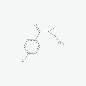 CC1CC1C(=O)c1ccc(Cl)cc1